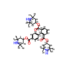 CC1(C)CC(OC(=O)c2ccc(-c3c(C(=O)OC4CC(C)(C)NC(C)(C)C4)cccc3C(=O)OC3CC(C)(C)NC(C)(C)C3)cc2)CC(C)(C)N1